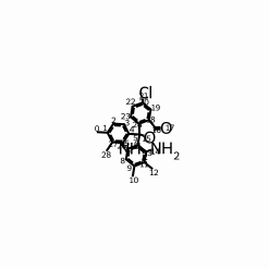 Cc1ccc(C2(c3ccc(C)c(C)c3N)OC(=O)c3cc(Cl)ccc32)c(N)c1C